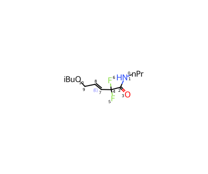 CCCNC(=O)C(F)(F)/C=C/COCC(C)C